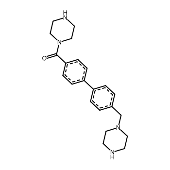 O=C(c1ccc(-c2ccc(CN3CCNCC3)cc2)cc1)N1CCNCC1